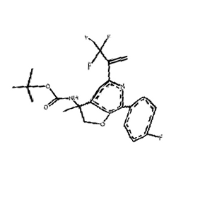 C=C(c1cc2c(c(-c3ccc(F)cc3)n1)OCC2(C)NC(=O)OC(C)(C)C)C(F)(F)F